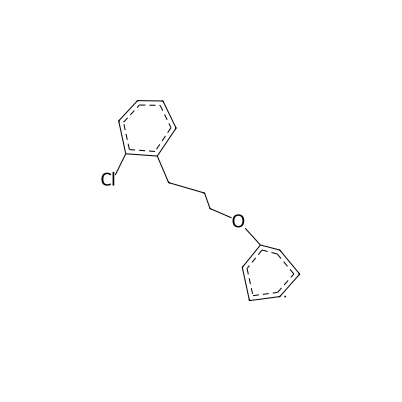 Clc1ccccc1CCCOc1cc[c]cc1